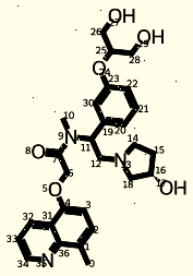 Cc1ccc(OCC(=O)N(C)C(CN2CC[C@H](O)C2)c2cccc(OC(CO)CO)c2)c2cccnc12